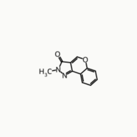 Cn1nc2c3ccccc3occ-2c1=O